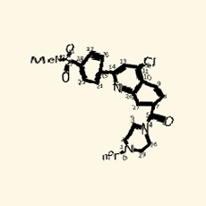 CCCN1CCN(C(=O)c2ccc3c(Cl)cc(-c4ccc(S(=O)(=O)NC)cc4)nc3c2)CC1